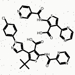 CC(C)(C)c1sc(NC(=O)c2cnccn2)c(C(=O)O)c1-c1cnn(-c2ccc(Cl)cc2)c1.O=C(Nc1scc(-c2cnccn2)c1C(=O)O)c1ccnnc1